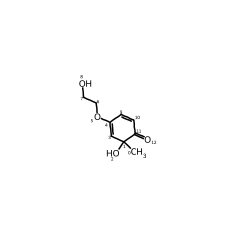 CC1(O)C=C(OCCO)C=CC1=O